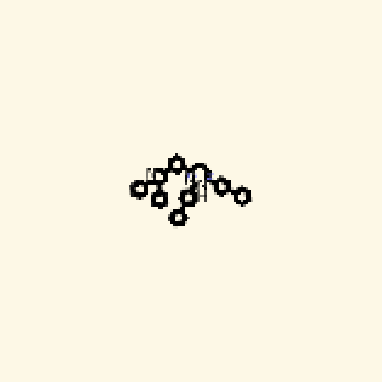 C1=CCCC(C2C=CC(/C3=C/CC/C(C4CCCC(C5C=NC(C6C=CC=CC6)C(C6=CC=CCC6)C5)C4)=N\C(C4C=CC(C5C=CC=CC5)=CC4)N3)=CC2)=C1